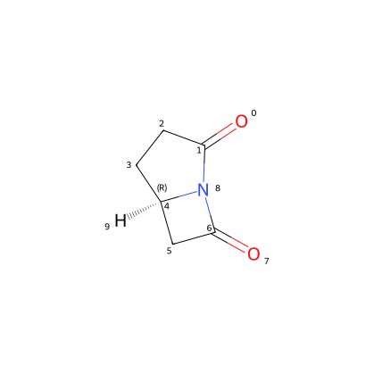 O=C1CC[C@@H]2CC(=O)N12